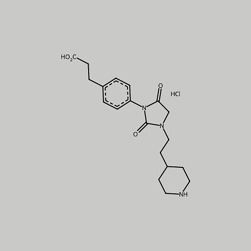 Cl.O=C(O)CCc1ccc(N2C(=O)CN(CCC3CCNCC3)C2=O)cc1